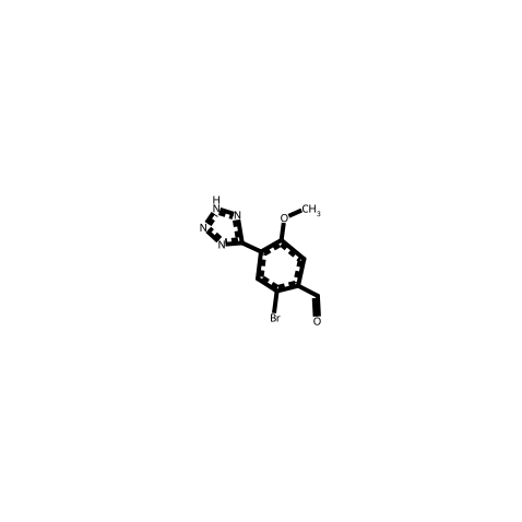 COc1cc(C=O)c(Br)cc1-c1nn[nH]n1